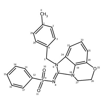 Cc1ccc(Cn2/c(=N\S(=O)(=O)c3ccccc3)n3c4c(cccc42)OCC3)cc1